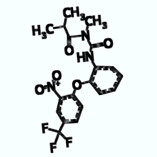 CC(C)C(=O)N(C)C(=O)Nc1ccccc1Oc1ccc(C(F)(F)F)cc1[N+](=O)[O-]